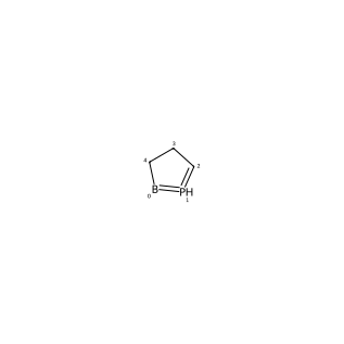 B1=[PH]=CCC1